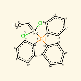 C[CH]=[Pt]([Cl])([Cl])[PH](c1ccccc1)(c1ccccc1)c1ccccc1